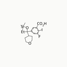 CCC(O[Si](C)(C)C)(c1cc(F)c(I)c(C(=O)O)c1)C1CCOCC1